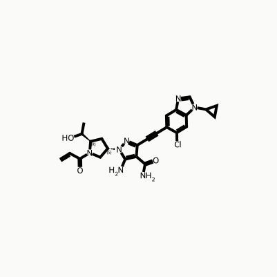 C=CC(=O)N1C[C@@H](n2nc(C#Cc3cc4ncn(C5CC5)c4cc3Cl)c(C(N)=O)c2N)C[C@@H]1C(C)O